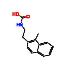 Cc1c(CCNC(=O)O)ccc2ccccc12